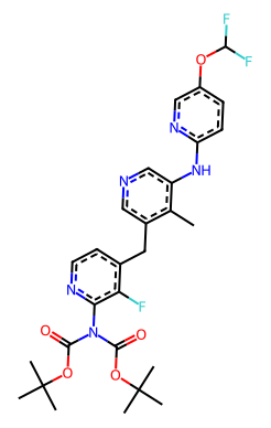 Cc1c(Cc2ccnc(N(C(=O)OC(C)(C)C)C(=O)OC(C)(C)C)c2F)cncc1Nc1ccc(OC(F)F)cn1